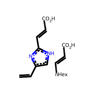 C=Cc1c[nH]c(C=CC(=O)O)n1.CCCCCCC=CC(=O)O